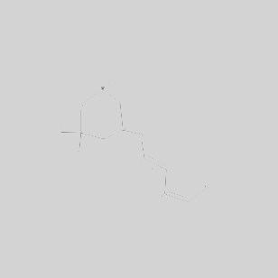 CC1(C)CC(N/C=C/C=C\N)CC(C)(C)N1